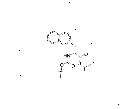 CC(C)OC(=O)[C@@H](Cc1ccc2ccccc2c1)NC(=O)OC(C)(C)C